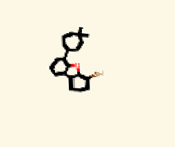 CC1(C)C=CC=C(c2cccc3c2oc2c(S)cccc23)C=C1